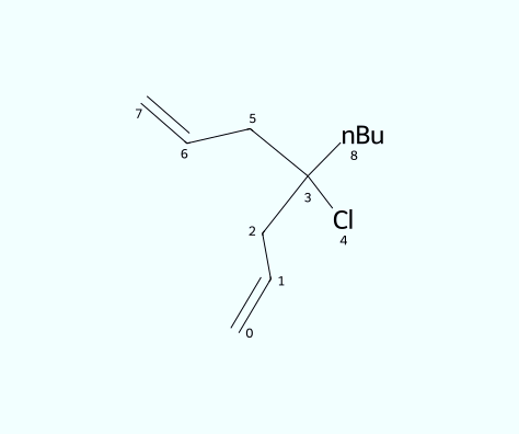 C=CCC(Cl)(CC=C)CCCC